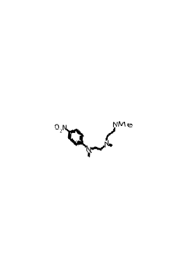 CNCCN(C)CCN(C)c1ccc([N+](=O)[O-])cc1